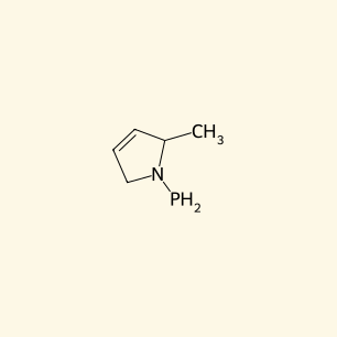 CC1C=CCN1P